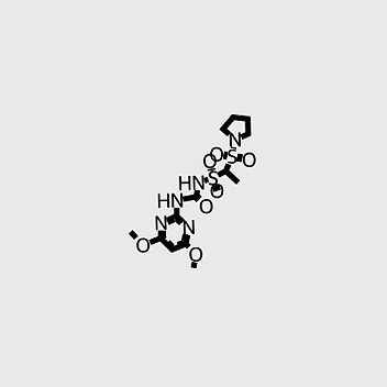 COc1cc(OC)nc(NC(=O)NS(=O)(=O)C(C)S(=O)(=O)N2CCCC2)n1